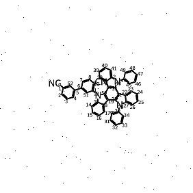 N#Cc1cccc(-c2ccc(C#N)c(-n3c4ccccc4c4c5c(c6ccccc6n5-c5ccccc5)c5c(c6ccccc6n5-c5ccccc5)c43)c2)c1